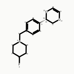 FC1CCN(Cc2ccc([C@H]3COC=CO3)cc2)CC1